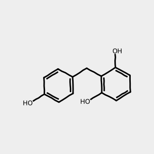 Oc1ccc(Cc2c(O)cccc2O)cc1